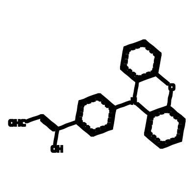 O=CC=C(O)c1ccc(N2c3ccccc3Oc3ccccc32)cc1